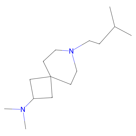 CC(C)CCN1CCC2(CC1)CC(N(C)C)C2